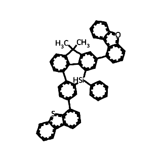 CC1(C)c2cccc3c2-c2c(cc(-c4cccc5oc6ccccc6c45)cc21)[SiH](c1ccccc1)c1cc(-c2cccc4c2sc2ccccc24)ccc1-3